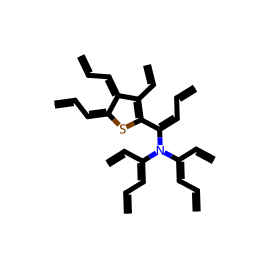 C=C/C=c1/c(C=C)c(/C(=C\C=C)N(/C(C=C)=C/C=C)/C(C=C)=C/C=C)s/c1=C/C=C